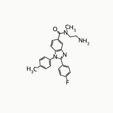 Cc1ccc(-n2c(-c3ccc(F)cc3)nc3cc(C(=O)N(C)CCN)ccc32)cc1